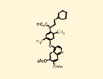 COc1cc2nccc(Oc3cc(C)c(N(CCC4CCCCC4)C(=O)O)cc3C)c2cc1OC